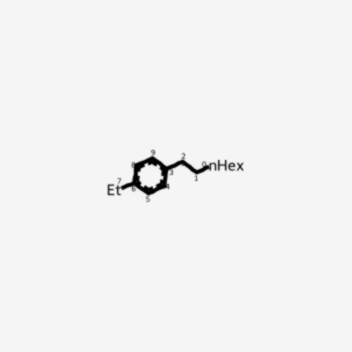 CCCCCCC[CH]c1ccc(CC)cc1